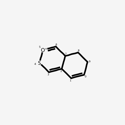 C1=CC2=CS[O+]=CC2CC1